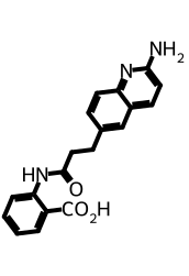 Nc1ccc2cc(CCC(=O)Nc3ccccc3C(=O)O)ccc2n1